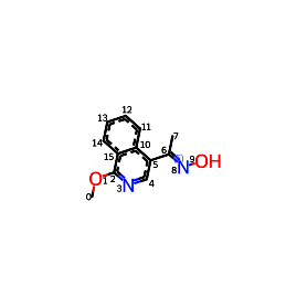 COc1ncc(/C(C)=N/O)c2ccccc12